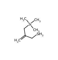 C=C(C[SiH3])C[Si](C)(C)C